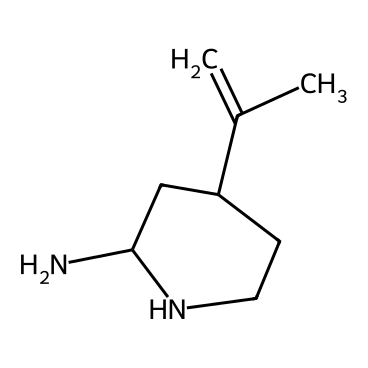 C=C(C)C1CCNC(N)C1